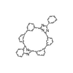 c1ccc(-c2nc3nc(n2)c2cccc(c2)c2cccc(c2)c2nc(nc4ccccc42)c2cccc(c2)c2cccc3c2)cc1